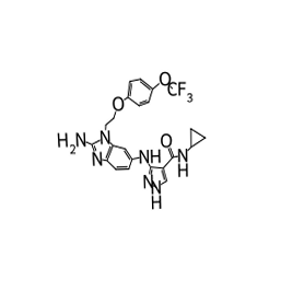 Nc1nc2ccc(Nc3n[nH]cc3C(=O)NC3CC3)cc2n1CCOc1ccc(OC(F)(F)F)cc1